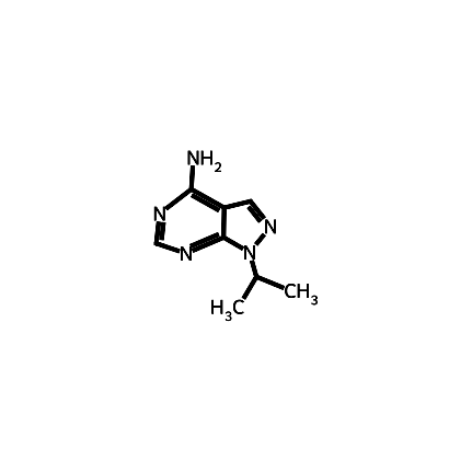 CC(C)n1ncc2c(N)ncnc21